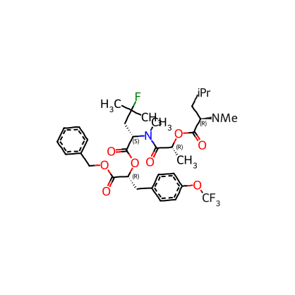 CN[C@H](CC(C)C)C(=O)O[C@H](C)C(=O)N(C)[C@@H](CC(C)(C)F)C(=O)O[C@H](Cc1ccc(OC(F)(F)F)cc1)C(=O)OCc1ccccc1